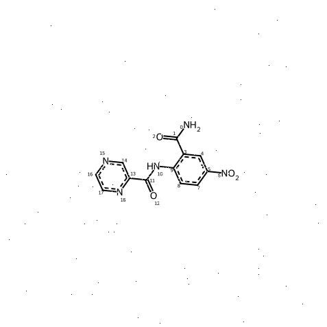 NC(=O)c1cc([N+](=O)[O-])ccc1NC(=O)c1cnccn1